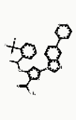 CC(Oc1cc(-n2cnc3cc(-c4cccnc4)ccc32)sc1C(N)=O)c1ccccc1C(F)(F)F